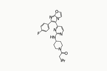 CC(C)CC(=O)N1CCC(Nc2nccc(-c3c(-c4ccc(F)cc4)nc4occn34)n2)CC1